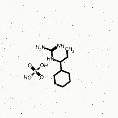 CCC(NC(=N)N)C1CCCCC1.O=S(=O)(O)O